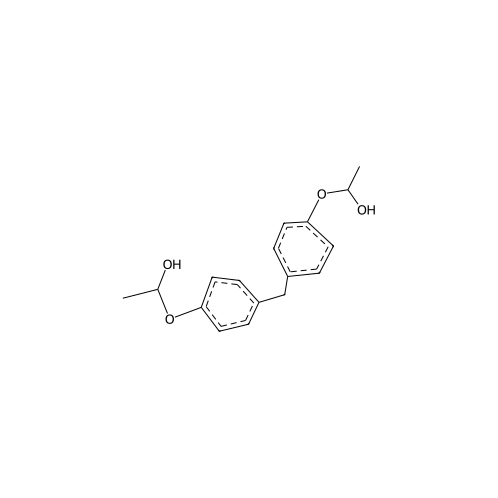 CC(O)Oc1ccc(Cc2ccc(OC(C)O)cc2)cc1